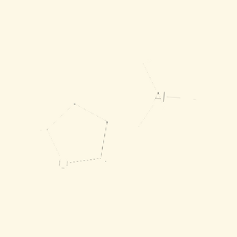 C1CCOC1.[CH3][Al]([CH3])[CH3]